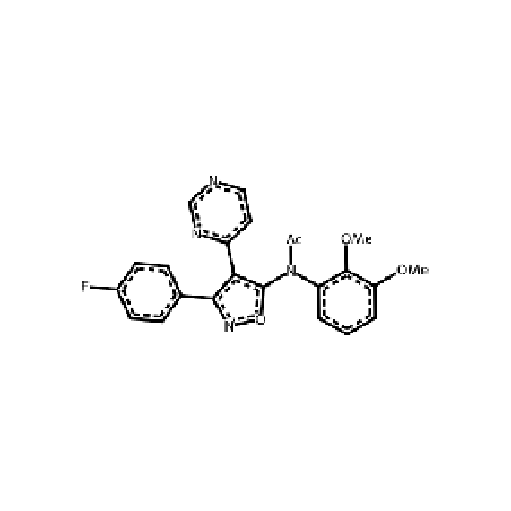 COc1cccc(N(C(C)=O)c2onc(-c3ccc(F)cc3)c2-c2ccncn2)c1OC